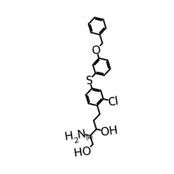 N[C@H](CO)C(O)CCc1ccc(Sc2cccc(OCc3ccccc3)c2)cc1Cl